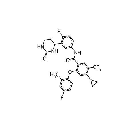 Cc1cc(F)ccc1Oc1cc(C2CC2)c(C(F)(F)F)cc1C(=O)Nc1ccc(F)c(C2CCNC(=O)N2)c1